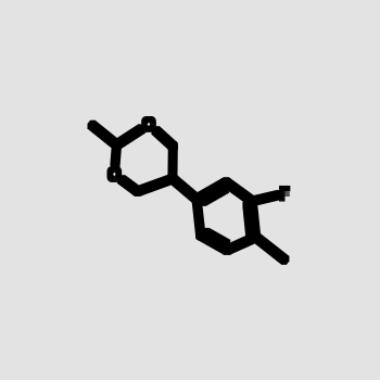 Cc1ccc(C2COC(C)OC2)cc1F